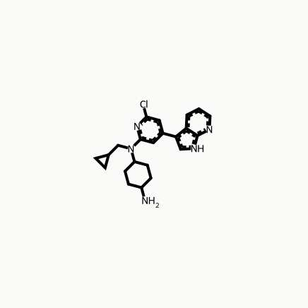 NC1CCC(N(CC2CC2)c2cc(-c3c[nH]c4ncccc34)cc(Cl)n2)CC1